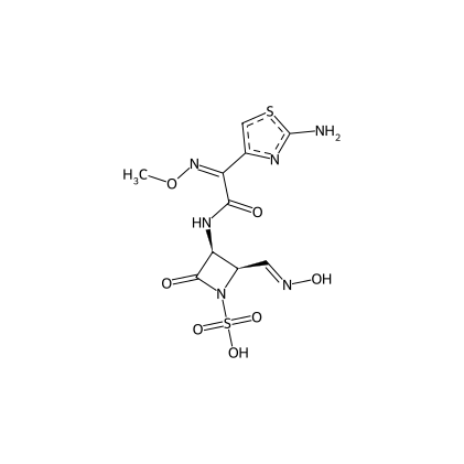 CO/N=C(\C(=O)N[C@@H]1C(=O)N(S(=O)(=O)O)[C@@H]1C=NO)c1csc(N)n1